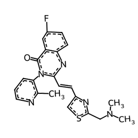 Cc1ncccc1-n1c(C=Cc2csc(CN(C)C)n2)nc2ccc(F)cc2c1=O